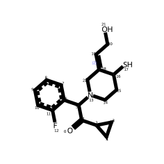 O=C(C1CC1)C(c1ccccc1F)N1CCC(S)/C(=C\CO)C1